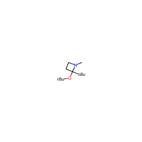 CCCCOC1(CCCC)CCN1C